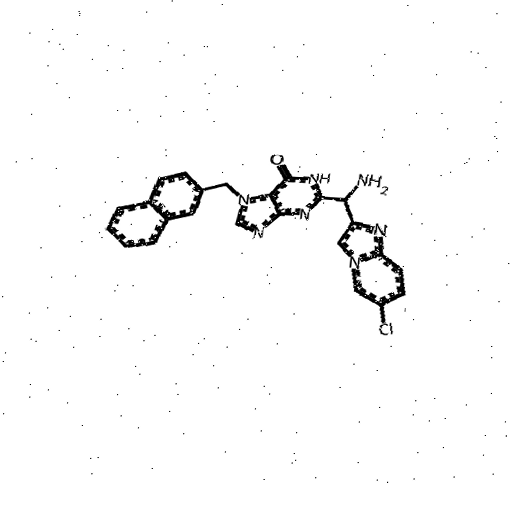 NC(c1cn2cc(Cl)ccc2n1)c1nc2ncn(Cc3ccc4ccccc4c3)c2c(=O)[nH]1